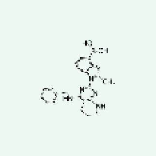 Cc1cc2c(B(O)O)cccc2n1-c1nc2c(c(NCc3ccccc3)n1)CCCN2